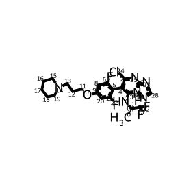 C[C@H](Nc1c(-c2c(F)cc(OCCCN3CCCCC3)cc2F)c(Cl)nc2ncnn12)C(F)(F)F